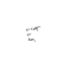 [BaH2].[CaH2].[Hf+4].[O-2].[O-2]